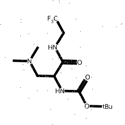 CN(C)CC(NC(=O)OC(C)(C)C)C(=O)NCC(F)(F)F